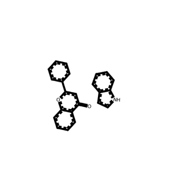 O=c1cc(-c2ccccc2)oc2ccccc12.c1ccc2[nH]ccc2c1